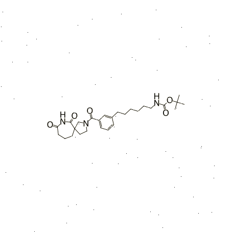 CC(C)(C)OC(=O)NCCCCCCc1cccc(C(=O)N2CCC3(CCCC(=O)NC3=O)C2)c1